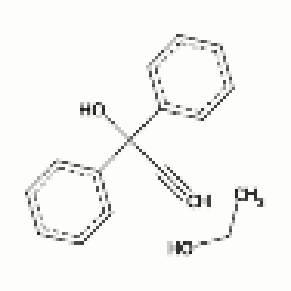 C#CC(O)(c1ccccc1)c1ccccc1.CCO